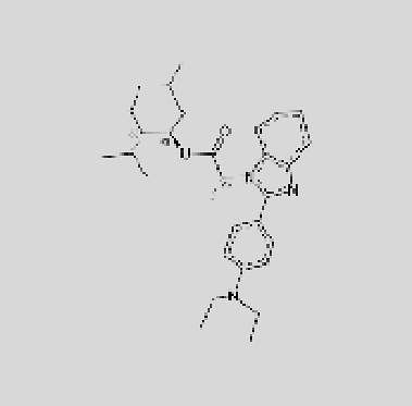 CCN(CC)c1ccc(-c2nc3ccccc3n2[C@H](C)C(=O)O[C@@H]2CC(C)CC[C@H]2C(C)C)cc1